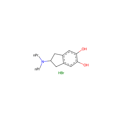 Br.CCCN(CCC)C1Cc2cc(O)c(O)cc2C1